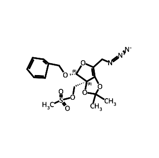 CC1(C)OC2=C(CN=[N+]=[N-])O[C@@H](OCc3ccccc3)[C@]2(COS(C)(=O)=O)O1